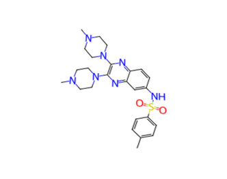 Cc1ccc(S(=O)(=O)Nc2ccc3nc(N4CCN(C)CC4)c(N4CCN(C)CC4)nc3c2)cc1